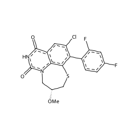 CO[C@H]1CSc2c(-c3ccc(F)cc3F)c(Cl)cc3c(=O)[nH]c(=O)n(c23)C1